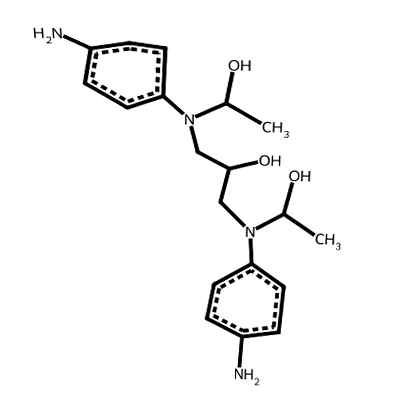 CC(O)N(CC(O)CN(c1ccc(N)cc1)C(C)O)c1ccc(N)cc1